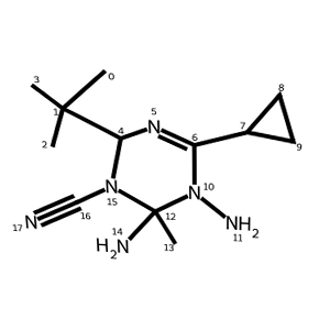 CC(C)(C)C1N=C(C2CC2)N(N)C(C)(N)N1C#N